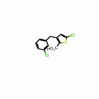 O=C(O)c1sc(Cl)cc1Cc1cccc(Cl)c1